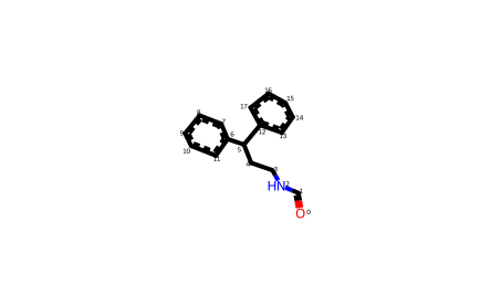 O=CNCCC(c1ccccc1)c1ccccc1